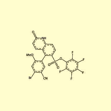 COc1cc(Br)c(C#N)cc1-c1c(S(=O)(=O)Oc2c(F)c(F)c(F)c(F)c2F)ccc2[nH]c(=O)ccc12